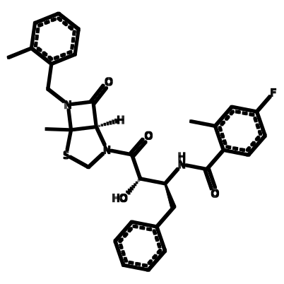 Cc1ccccc1CN1C(=O)[C@H]2N(C(=O)[C@@H](O)[C@H](Cc3ccccc3)NC(=O)c3ccc(F)cc3C)CSC21C